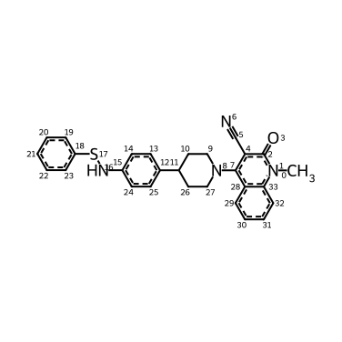 Cn1c(=O)c(C#N)c(N2CCC(c3ccc(NSc4ccccc4)cc3)CC2)c2ccccc21